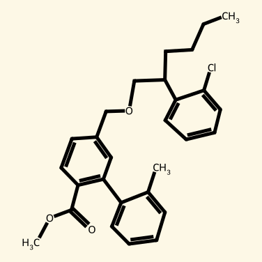 CCCCC(COCc1ccc(C(=O)OC)c(-c2ccccc2C)c1)c1ccccc1Cl